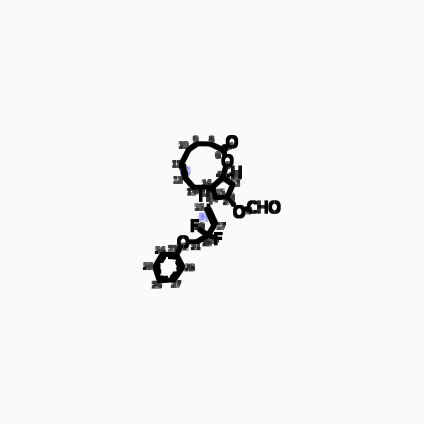 O=CO[C@@H]1C[C@@H]2OC(=O)CCC/C=C\C[C@@H]2[C@H]1/C=C/C(F)(F)COc1ccccc1